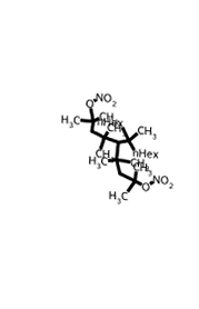 CCCCCCC(C)(CCCCCC)C(C(C)(C)CC(C)(C)O[N+](=O)[O-])C(C)(C)CC(C)(C)O[N+](=O)[O-]